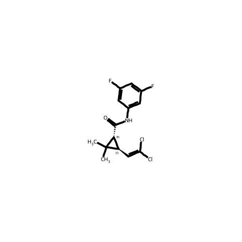 CC1(C)[C@H](C=C(Cl)Cl)[C@H]1C(=O)Nc1cc(F)cc(F)c1